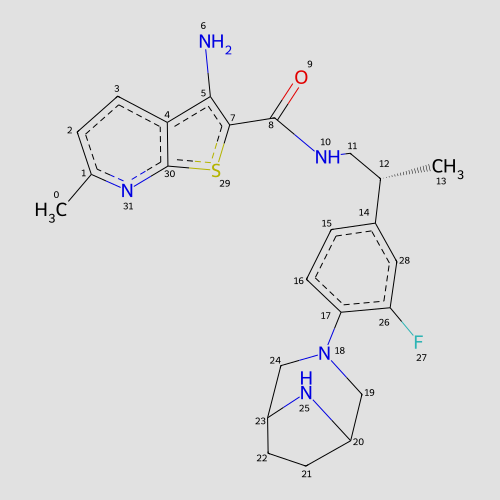 Cc1ccc2c(N)c(C(=O)NC[C@H](C)c3ccc(N4CC5CCC(C4)N5)c(F)c3)sc2n1